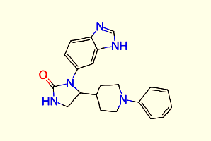 O=C1NCC(C2CCN(c3ccccc3)CC2)N1c1ccc2nc[nH]c2c1